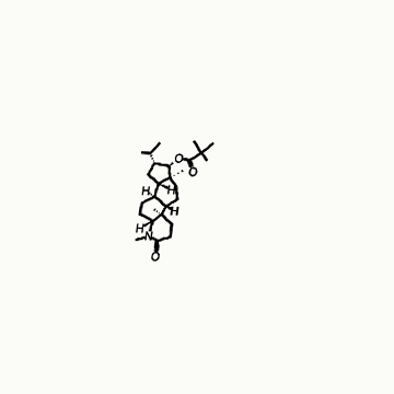 CC(C)[C@H]1C[C@H]2[C@@H]3CC[C@H]4N(C)C(=O)CC[C@]4(C)[C@H]3CC[C@]2(C)[C@H]1OC(=O)C(C)(C)C